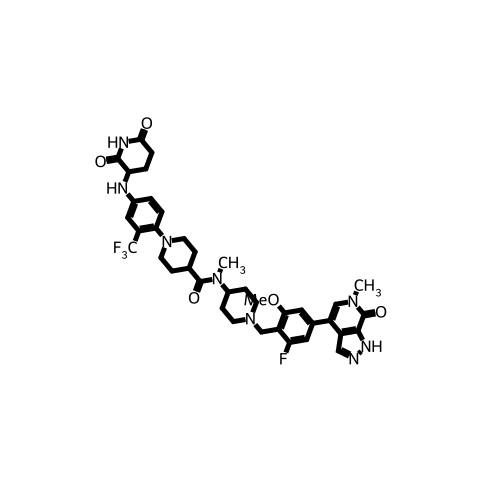 COc1cc(-c2cn(C)c(=O)c3[nH]ncc23)cc(F)c1CN1CCC(N(C)C(=O)C2CCN(c3ccc(NC4CCC(=O)NC4=O)cc3C(F)(F)F)CC2)CC1